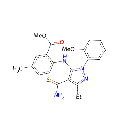 CCc1nn(-c2ccccc2OC)c(Nc2ccc(C)cc2C(=O)OC)c1C(N)=S